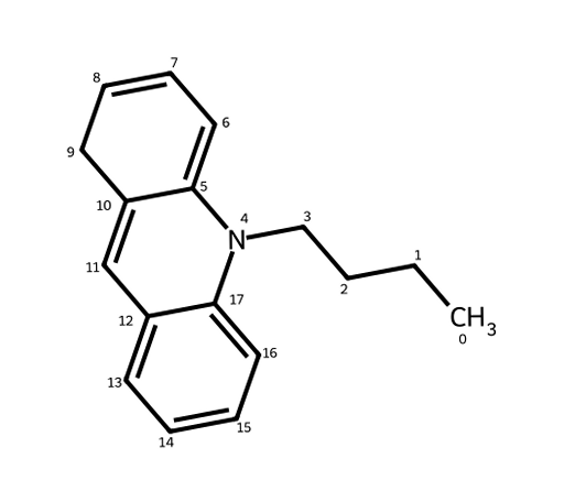 CCCCN1C2=CC=CCC2=Cc2ccccc21